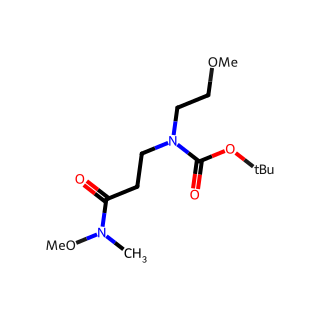 COCCN(CCC(=O)N(C)OC)C(=O)OC(C)(C)C